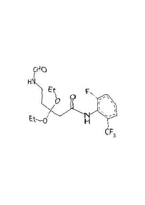 CCOC(CCNC=O)(CC(=O)Nc1c(F)cccc1C(F)(F)F)OCC